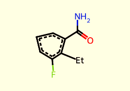 CCc1c(F)cccc1C(N)=O